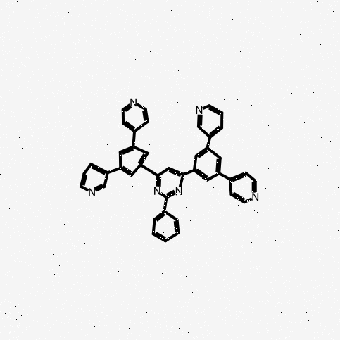 c1ccc(-c2nc(-c3cc(-c4ccncc4)cc(-c4cccnc4)c3)cc(-c3cc(-c4ccncc4)cc(-c4cccnc4)c3)n2)cc1